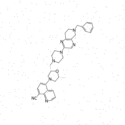 C[C@@H]1CN(c2ccc(C#N)c3ncccc23)C[C@H](CN2CCN(c3cnc4c(n3)CCN(Cc3ccccc3)C4)CC2)O1